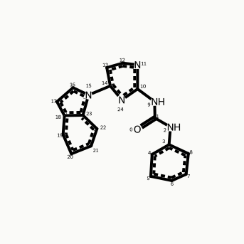 O=C(Nc1ccccc1)Nc1nccc(-n2ccc3ccccc32)n1